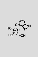 OC[C@H]1OC(O)[C@H](O)[C@@H]1O.c1ccc2[nH]cnc2c1